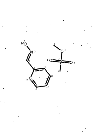 COS(C)(=O)=O.ON=Cc1ccccn1